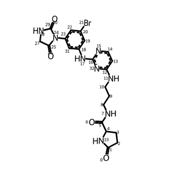 O=C1CCC(C(=O)NCCCNc2ccnc(Nc3cc(Br)cc(N4C(=O)CNC4=O)c3)n2)N1